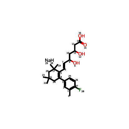 Cc1cc(C2=C(/C=C/C(O)CC(O)CC(=O)O)C(C)(C)CC(C)(C)C2)ccc1F.[NaH]